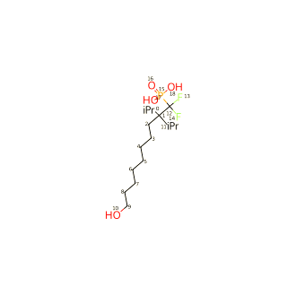 CC(C)C(CCCCCCCCO)(C(C)C)C(F)(F)P(=O)(O)O